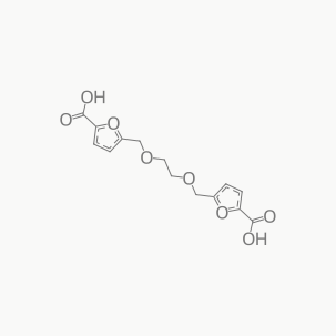 O=C(O)c1ccc(COCCOCc2ccc(C(=O)O)o2)o1